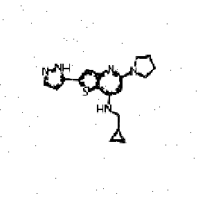 c1cc(-c2cc3nc(N4CCCC4)cc(NCC4CC4)c3s2)[nH]n1